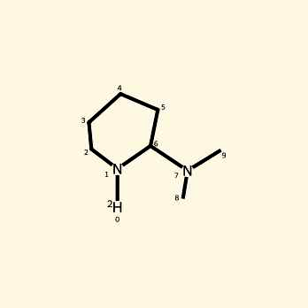 [2H]N1CCCCC1N(C)C